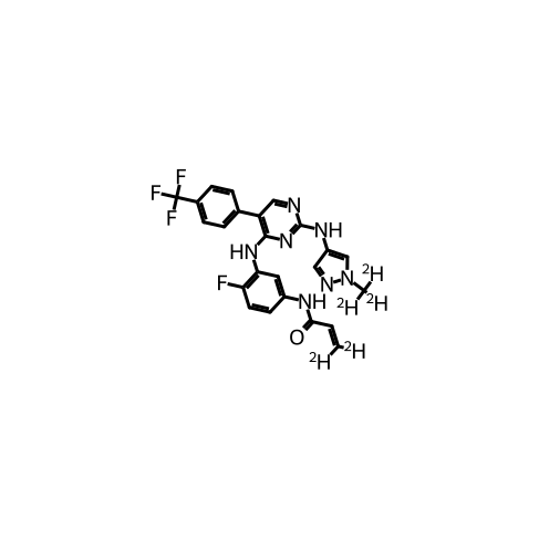 [2H]C([2H])=CC(=O)Nc1ccc(F)c(Nc2nc(Nc3cnn(C([2H])([2H])[2H])c3)ncc2-c2ccc(C(F)(F)F)cc2)c1